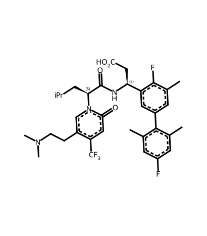 Cc1cc(-c2c(C)cc(F)cc2C)cc([C@H](CC(=O)O)NC(=O)[C@H](CC(C)C)n2cc(CCN(C)C)c(C(F)(F)F)cc2=O)c1F